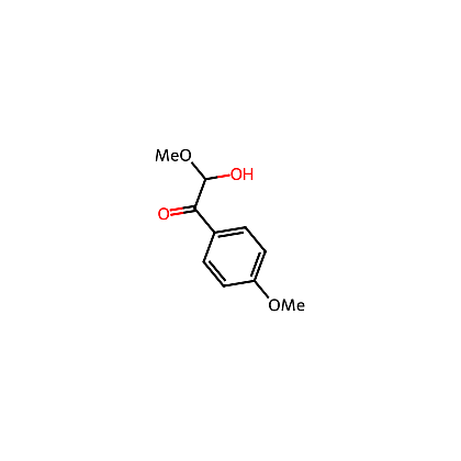 COc1ccc(C(=O)C(O)OC)cc1